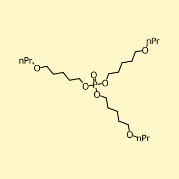 CCCOCCCCCOP(=O)(OCCCCCOCCC)OCCCCCOCCC